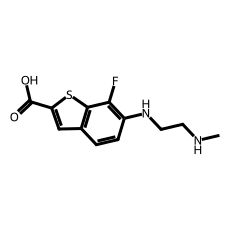 CNCCNc1ccc2cc(C(=O)O)sc2c1F